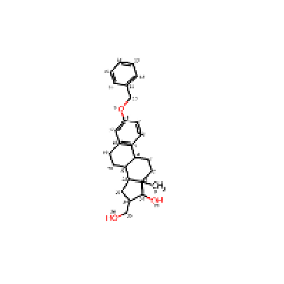 CC12CCC3c4ccc(OCc5ccccc5)cc4CCC3C1CC(CO)C2O